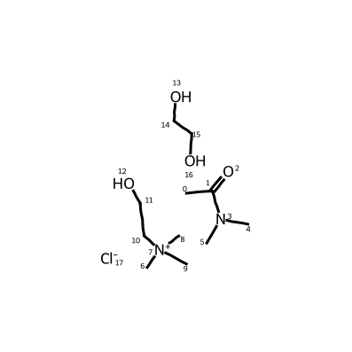 CC(=O)N(C)C.C[N+](C)(C)CCO.OCCO.[Cl-]